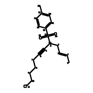 CC=CCN(C#CCCCCCl)S(=O)(=O)c1ccc(C)cc1